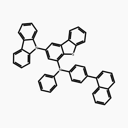 c1ccc(N(c2ccc(-c3cccc4ccccc34)cc2)c2cc(-n3c4ccccc4c4ccccc43)cc3c2sc2ccccc23)cc1